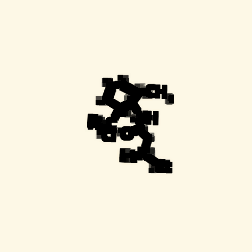 CCCl.CCN(CC)CC(=O)Nc1c(C)cccc1C